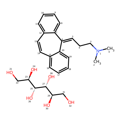 CN(C)CCC=C1c2ccccc2C=Cc2ccccc21.OC[C@@H](O)[C@@H](O)[C@H](O)[C@H](O)CO